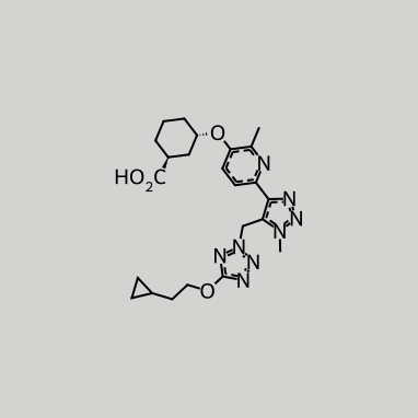 Cc1nc(-c2nnn(C)c2Cn2nnc(OCCC3CC3)n2)ccc1O[C@H]1CCC[C@H](C(=O)O)C1